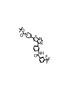 CC(C)(C)OC(=O)N1CC=C(c2cc3c(-c4cccc(NC(=O)c5cccc(C(F)(F)F)c5)c4)ncnc3s2)CC1